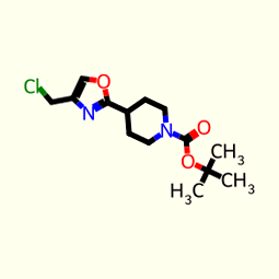 CC(C)(C)OC(=O)N1CCC(c2nc(CCl)co2)CC1